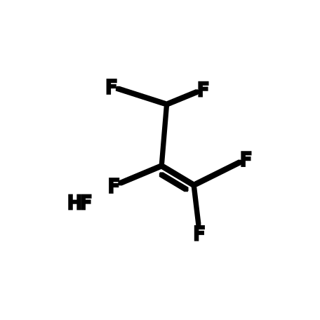 F.FC(F)=C(F)C(F)F